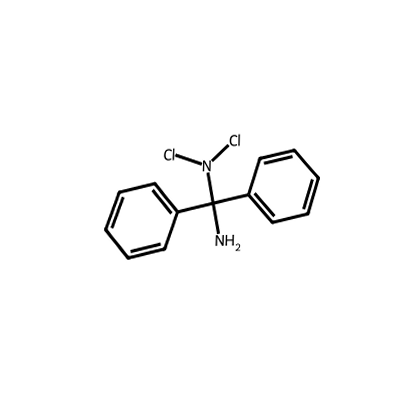 NC(c1ccccc1)(c1ccccc1)N(Cl)Cl